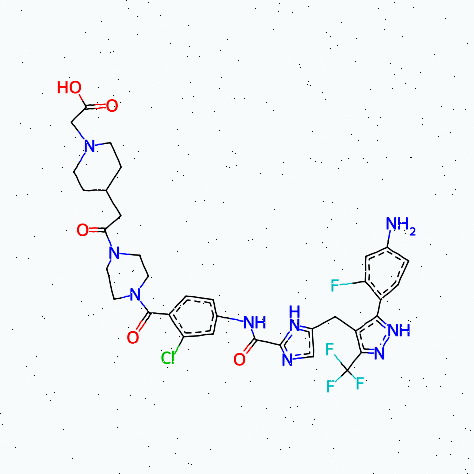 Nc1ccc(-c2[nH]nc(C(F)(F)F)c2Cc2cnc(C(=O)Nc3ccc(C(=O)N4CCN(C(=O)CC5CCN(CC(=O)O)CC5)CC4)c(Cl)c3)[nH]2)c(F)c1